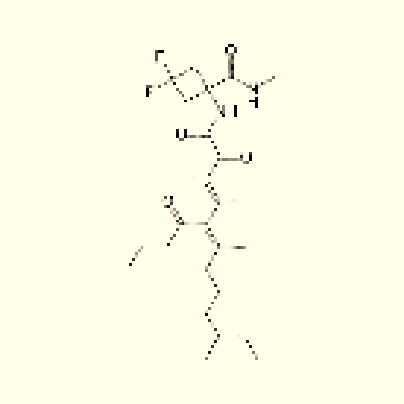 CCCC(=O)C(=C(/C)CCCC(C)CC)/C(C)=C(\C)C(=O)C(=O)NC1(C(=O)NC)CC(F)(F)C1